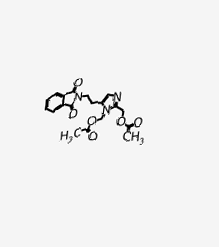 CC(=O)OCc1ncc(CCN2C(=O)c3ccccc3C2=O)n1COC(C)=O